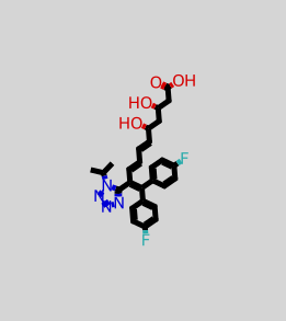 CC(C)n1nnnc1C(/C=C/C=C/C(O)CC(O)CC(=O)O)=C(c1ccc(F)cc1)c1ccc(F)cc1